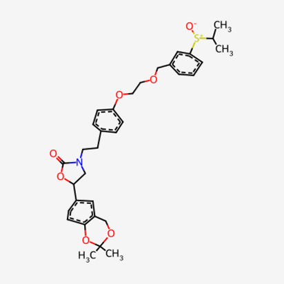 CC(C)[S+]([O-])c1cccc(COCCOc2ccc(CCN3CC(c4ccc5c(c4)COC(C)(C)O5)OC3=O)cc2)c1